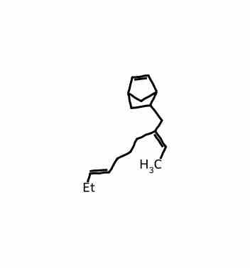 C/C=C(\CCC/C=C/CC)CC1CC2C=CC1C2